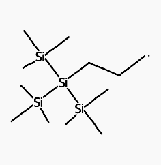 [CH2]CC[Si]([Si](C)(C)C)([Si](C)(C)C)[Si](C)(C)C